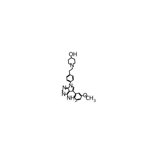 COc1cccc(-c2cn(-c3ccc(CCN4CCC(O)CC4)cc3)c3ncnc(N)c23)c1